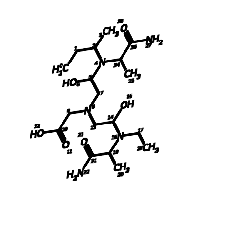 CCC(C)N(C(O)CN(CC(=O)O)CC(O)N(CC)C(C)C(N)=O)C(C)C(N)=O